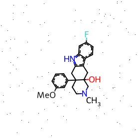 COc1cccc(C23CCN(C)CC2(O)Cc2c([nH]c4cc(F)ccc24)C3)c1